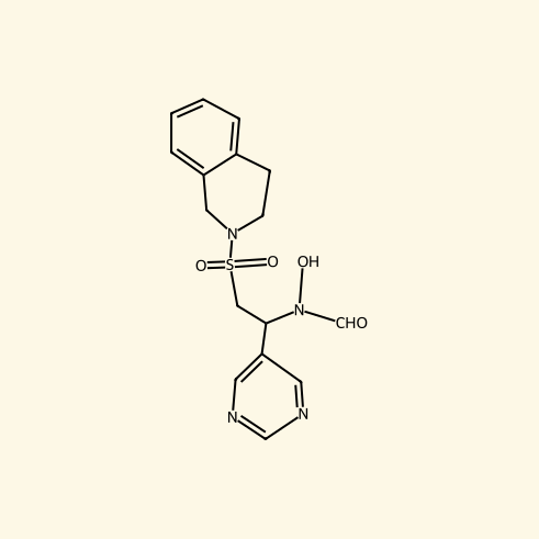 O=CN(O)C(CS(=O)(=O)N1CCc2ccccc2C1)c1cncnc1